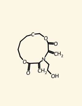 C=C1C(=O)OCCCCCCOC(=O)C(=C)N1CCO